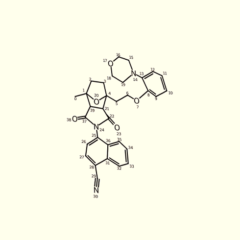 CC12CCC(CCOc3ccccc3N3CCOCC3)(O1)C1C(=O)N(c3ccc(C#N)c4ccccc34)C(=O)C12